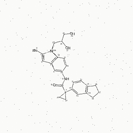 CC(C)(C)c1cc2cc(NC(=O)C3(c4ccc5c(c4)CCC5)CC3)ccc2n1CC(O)CO